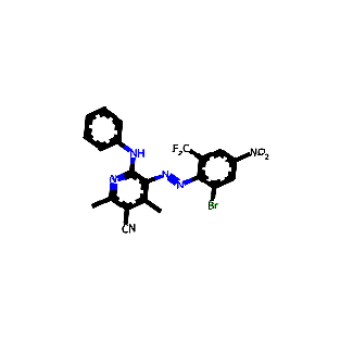 Cc1nc(Nc2ccccc2)c(N=Nc2c(Br)cc([N+](=O)[O-])cc2C(F)(F)F)c(C)c1C#N